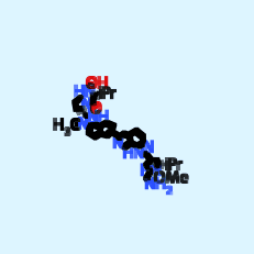 CON[C@H](C[C@@H](CCCN)c1nc2ccc3cc(-c4ccc5c6c(ccc5c4)N(C)C([C@@H]4CCCN4C(=O)[C@@H](NO)C(C)C)N6)ncc3c2[nH]1)C(C)C